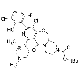 C[C@H]1CN(C)CCN1c1nc(-c2c(F)ccc(Cl)c2O)c(Cl)c2c1C(=O)N1CCN(C(=O)OC(C)(C)C)CC1=CO2